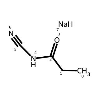 CCC(=O)NC#N.[NaH]